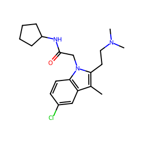 Cc1c(CCN(C)C)n(CC(=O)NC2CCCC2)c2ccc(Cl)cc12